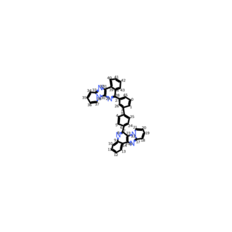 c1cc(-c2ccc(-c3nc4ccccc4c4nc5ccccn5c34)cc2)cc(-c2nc3c(nc4ccccn43)c3ccccc23)c1